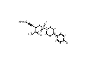 CCCCCC#CC(CS(=O)(=O)N1CCC(c2ccc(C)cc2)CC1)C(N)=O